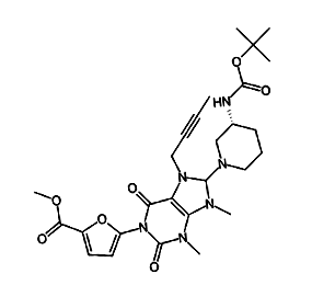 CC#CCN1c2c(n(C)c(=O)n(-c3ccc(C(=O)OC)o3)c2=O)N(C)C1N1CCC[C@@H](NC(=O)OC(C)(C)C)C1